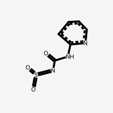 O=C(N=S(=O)=O)Nc1ccccn1